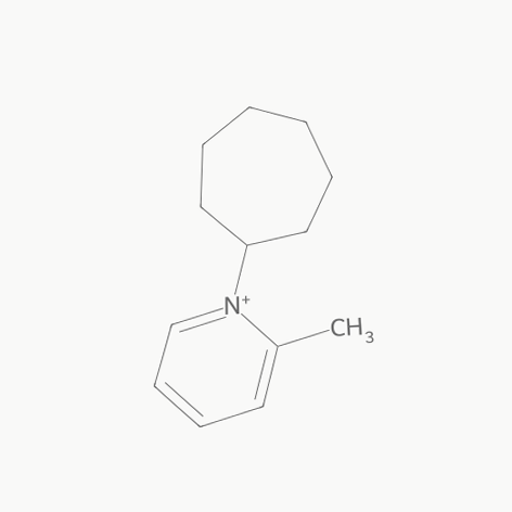 Cc1cccc[n+]1C1CCCCCC1